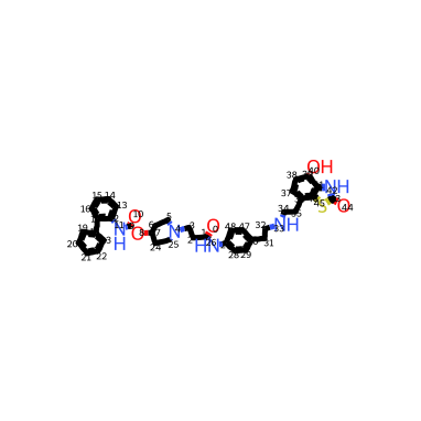 O=C(CCN1CCC(OC(=O)Nc2ccccc2-c2ccccc2)CC1)Nc1ccc(CCNCCc2ccc(O)c3[nH]c(=O)sc23)cc1